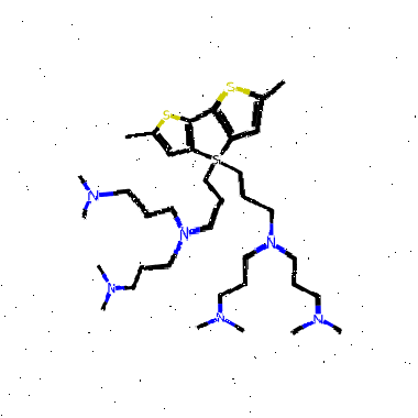 Cc1cc2c(s1)-c1sc(C)cc1[Si]2(CCCN(CCCN(C)C)CCCN(C)C)CCCN(CCCN(C)C)CCCN(C)C